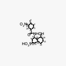 Cc1ccc(C(=O)Nc2cc(S(=O)(=O)O)cc3cccc(O)c23)cc1[N+](=O)[O-]